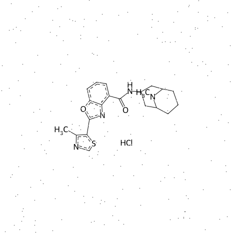 Cc1ncsc1-c1nc2c(C(=O)NC3CC4CCCC(C3)N4C)cccc2o1.Cl